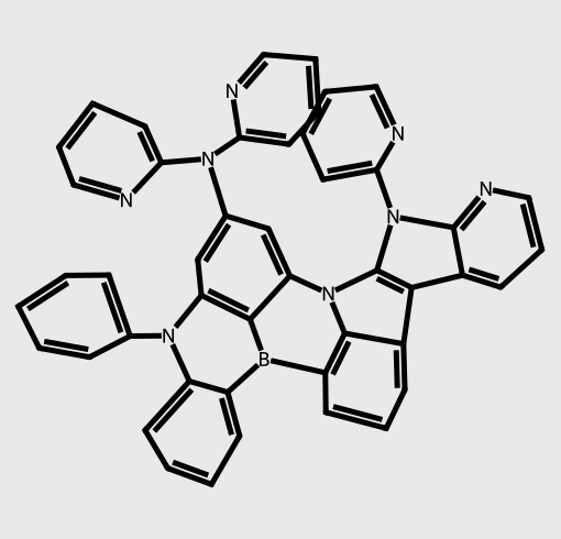 c1ccc(N2c3ccccc3B3c4c2cc(N(c2ccccn2)c2ccccn2)cc4-n2c4c3cccc4c3c4cccnc4n(-c4ccccn4)c32)cc1